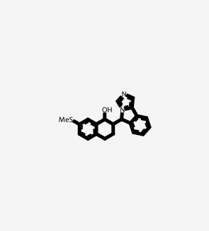 CSc1ccc2c(c1)C(O)C(C1c3ccccc3-c3cncn31)CC2